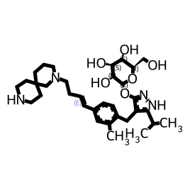 Cc1cc(/C=C/CCN2CCCC3(CCNCC3)C2)ccc1Cc1c(O[C@H]2O[C@H](CO)[C@@H](O)[C@H](O)[C@H]2O)n[nH]c1C(C)C